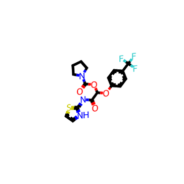 O=C(N=c1[nH]ccs1)C(OC(=O)N1CCCC1)Oc1ccc(C(F)(F)F)cc1